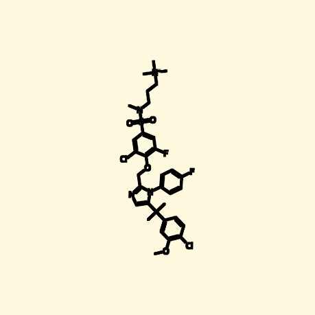 COc1cc(C(C)(C)c2cnc(COc3c(F)cc(S(=O)(=O)N(C)CCC[N+](C)(C)C)cc3Cl)n2-c2ccc(F)cc2)ccc1Cl